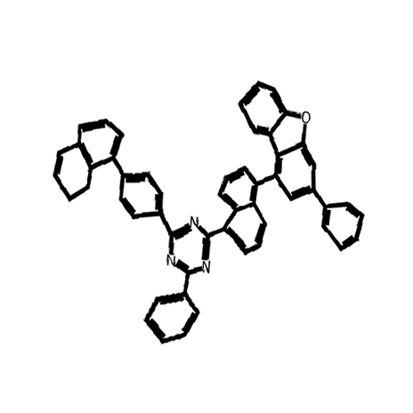 C1=Cc2cccc(-c3ccc(-c4nc(-c5ccccc5)nc(-c5cccc6c(-c7cc(-c8ccccc8)cc8oc9ccccc9c78)cccc56)n4)cc3)c2CC1